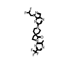 Cc1ncc(C(F)(F)F)nc1N1CCC2(CCN(c3cnc4cnn(CC(F)F)c4n3)CC2)C1=O